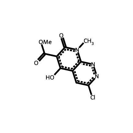 COC(=O)c1c(O)c2cc(Cl)nnc2n(C)c1=O